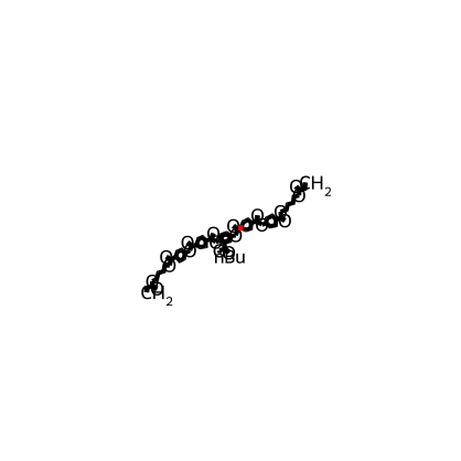 C=CC(=O)OCCCCOC(=O)C1CCC(OC(=O)C2CCC(C(=O)Oc3ccc(OC(=O)C4CCC(C(=O)OC5CCC(C(=O)OCCCCOC(=O)C=C)CC5)CC4)c(C(=O)OCCCC)c3)CC2)CC1